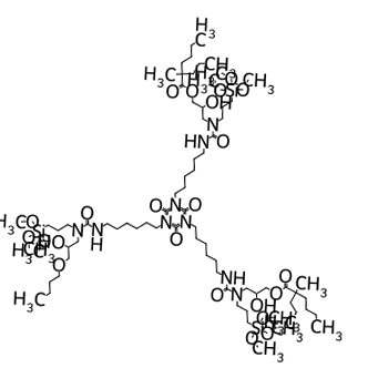 CCCCOCC(O)CN(CCC[Si](OC)(OC)OC)C(=O)NCCCCCCn1c(=O)n(CCCCCCNC(=O)N(CCC[Si](OC)(OC)OC)CC(O)COC(=O)C(C)(CCC)CCCC)c(=O)n(CCCCCCNC(=O)N(CCC[Si](OC)(OC)OC)CC(O)COC(=O)C(C)(CCC)CCCC)c1=O